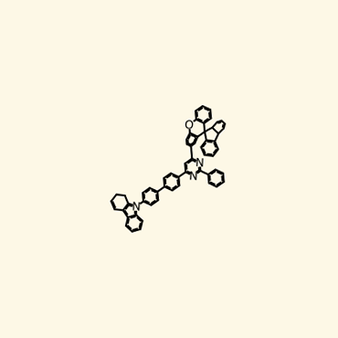 C1=CC2c3ccccc3C3(c4ccccc4Oc4ccc(-c5cc(-c6ccc(-c7ccc(-n8c9c(c%10ccccc%108)C=CCC9)cc7)cc6)nc(-c6ccccc6)n5)cc43)C2C=C1